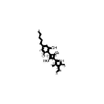 CCCCCc1cc(O)c(C2=C(O)C(c3[nH]c(C)c(CC)c3C)C2=O)c(O)c1